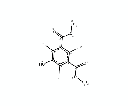 COC(=O)c1c(I)c(O)c(I)c(C(=O)OC)c1I